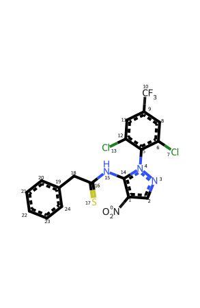 O=[N+]([O-])c1cnn(-c2c(Cl)cc(C(F)(F)F)cc2Cl)c1NC(=S)Cc1ccccc1